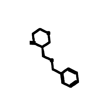 c1ccc(COC[C@@H]2COCCN2)cc1